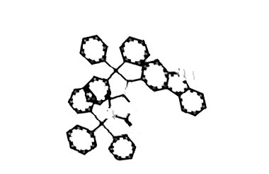 O=C1S[C@H](C(c2ccc3[nH]c4ccccc4c3c2)C(c2ccccc2)(c2ccccc2)c2ccccc2)C(=O)N1C(c1ccccc1)(c1ccccc1)c1ccccc1